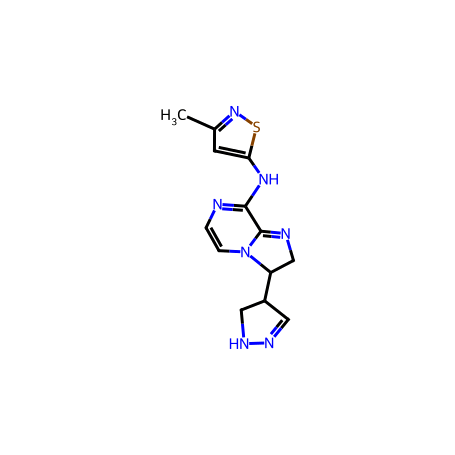 Cc1cc(NC2=NC=CN3C2=NCC3C2C=NNC2)sn1